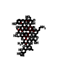 CC(C)C[C@H](NC(=O)[C@H](Cc1ccccc1)NC(=O)[C@@H](NC(=O)[C@H](CCCCN)NC(=O)CNC(=O)[C@H](CC(N)=O)NC(=O)[C@H](CO)NC(=O)[C@H](Cc1ccc(O)cc1)NC(=O)[C@H](CC(C)C)NC(=O)[C@H](CC(C)C)NC(=O)[C@H](CO)NC(=O)[C@H](CCC(N)=O)NC(=O)[C@H](CO)NC(=O)[C@H](CO)NC(=O)[C@@H](N)CCCCN)[C@@H](C)O)C(=O)N[C@@H](Cc1c[nH]cn1)C(=O)O